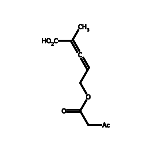 CC(=O)CC(=O)OCC=C=C(C)C(=O)O